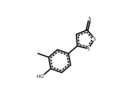 Cc1cc(-c2cc(=S)ss2)ccc1O